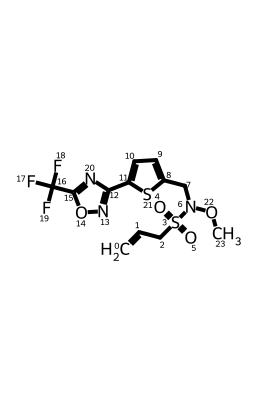 C=CCS(=O)(=O)N(Cc1ccc(-c2noc(C(F)(F)F)n2)s1)OC